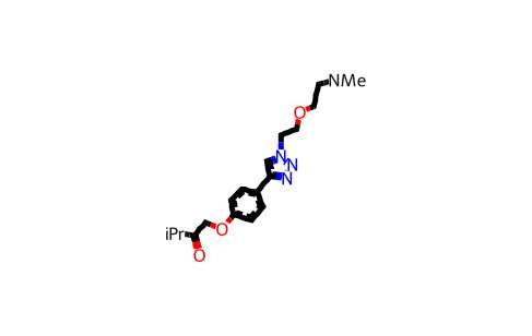 CNCCOCCn1cc(-c2ccc(OCC(=O)C(C)C)cc2)nn1